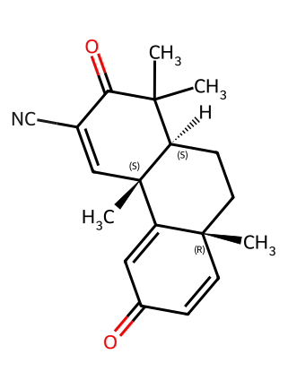 CC1(C)C(=O)C(C#N)=C[C@@]2(C)C3=CC(=O)C=C[C@@]3(C)CC[C@H]12